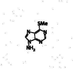 CSc1ncnc2c1ncn2N